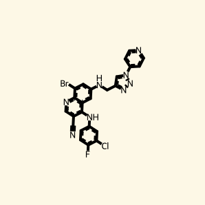 N#Cc1cnc2c(Br)cc(NCc3cn(-c4ccncc4)nn3)cc2c1Nc1ccc(F)c(Cl)c1